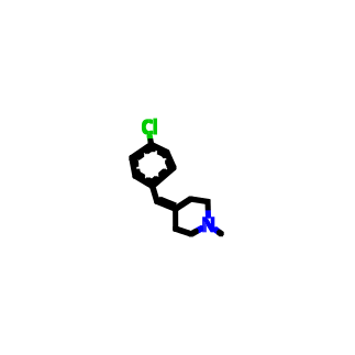 CN1CCC(=Cc2ccc(Cl)cc2)CC1